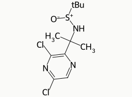 CC(C)(N[S+]([O-])C(C)(C)C)c1ncc(Cl)nc1Cl